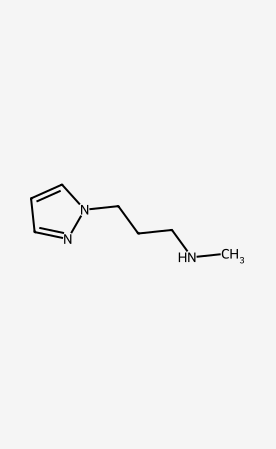 CNCCCn1cccn1